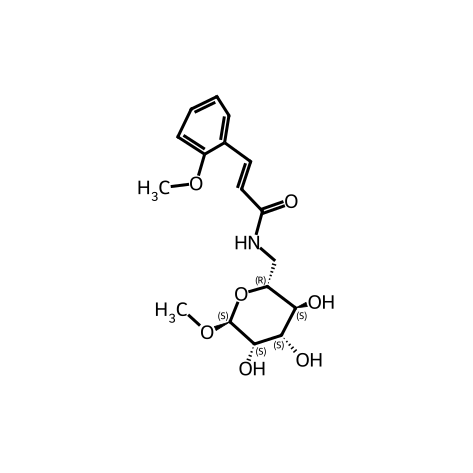 COc1ccccc1C=CC(=O)NC[C@H]1O[C@H](OC)[C@@H](O)[C@@H](O)[C@@H]1O